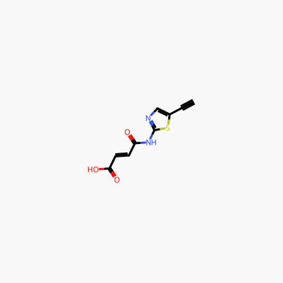 C#Cc1cnc(NC(=O)C=CC(=O)O)s1